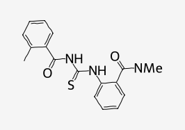 CNC(=O)c1ccccc1NC(=S)NC(=O)c1ccccc1C